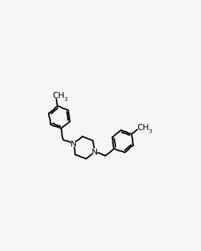 Cc1ccc([CH]N2CCN(Cc3ccc(C)cc3)CC2)cc1